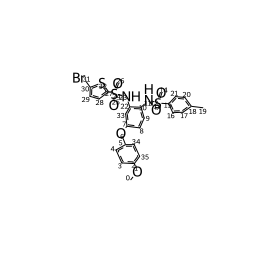 COc1ccc(Oc2ccc(NS(=O)(=O)c3ccc(C)cc3)c(NS(=O)(=O)c3ccc(Br)s3)c2)cc1